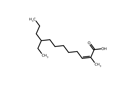 CCCC(CC)CCCCCC=C(C)C(=O)O